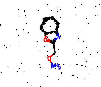 NOCc1nc2ccccc2o1